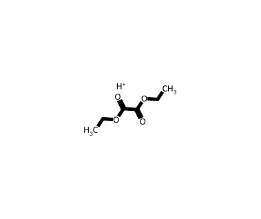 CCOC(=O)C(=O)OCC.[H+]